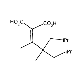 CC(=C(C(=O)O)C(=O)O)C(C)(CC(C)C)CC(C)C